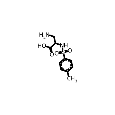 Cc1ccc(S(=O)(=O)NC(CN)C(=O)O)cc1